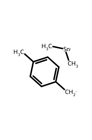 [CH2]c1ccc(C)cc1.[CH3][Sn][CH3]